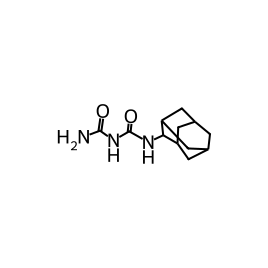 NC(=O)NC(=O)NC1C2CC3CC(C2)CC1C3